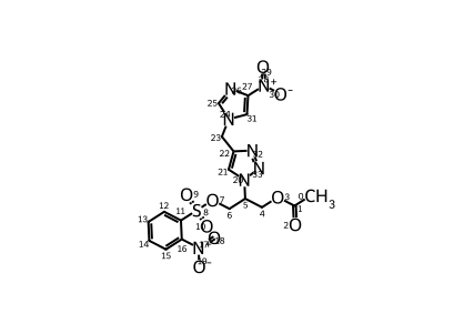 CC(=O)OCC(COS(=O)(=O)c1ccccc1[N+](=O)[O-])n1cc(Cn2cnc([N+](=O)[O-])c2)nn1